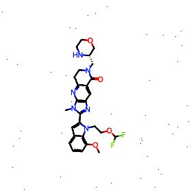 COc1cccc2cc(-c3nc4cc5c(nc4n3C)CCN(C[C@H]3COCCN3)C5=O)n(CCOC(F)F)c12